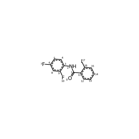 O=C(Nc1ccc(F)cc1F)c1ccccc1I